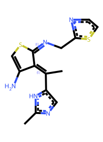 C/C(=C1/C(N)=CS/C1=N/Cc1nccs1)c1cnc(C)[nH]1